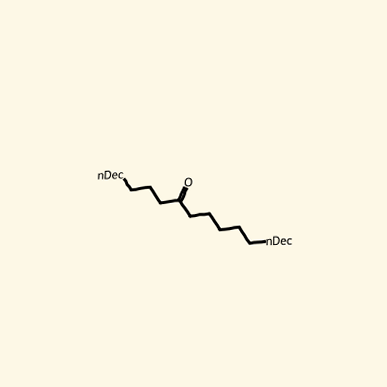 CCCCCCCCCCCCCCCC(=O)CCCCCCCCCCCCC